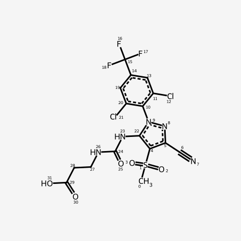 CS(=O)(=O)c1c(C#N)nn(-c2c(Cl)cc(C(F)(F)F)cc2Cl)c1NC(=O)NCCC(=O)O